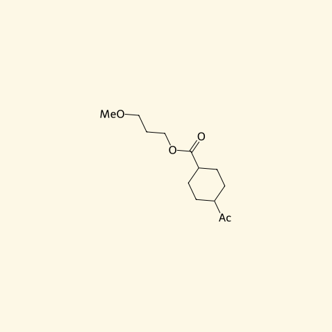 COCCCOC(=O)C1CCC(C(C)=O)CC1